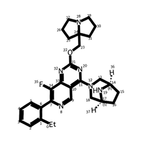 CCc1ccccc1-c1ncc2c(N3C[C@H]4CC[C@@H](C3)N4)nc(OCC34CCCN3CCC4)nc2c1F